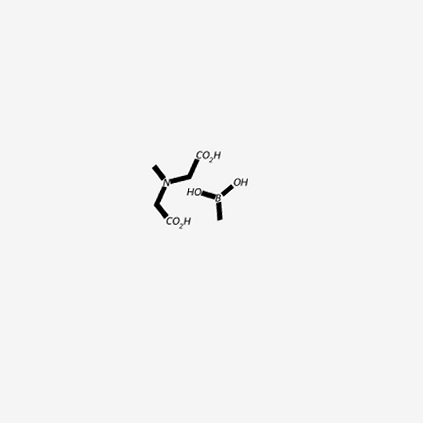 CB(O)O.CN(CC(=O)O)CC(=O)O